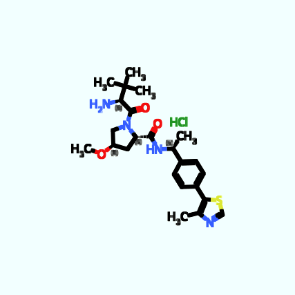 CO[C@@H]1C[C@@H](C(=O)N[C@@H](C)c2ccc(-c3scnc3C)cc2)N(C(=O)[C@@H](N)C(C)(C)C)C1.Cl